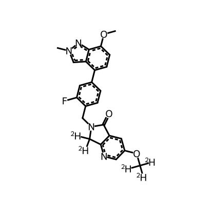 [2H]C([2H])([2H])Oc1cnc2c(c1)C(=O)N(Cc1ccc(-c3ccc(OC)c4nn(C)cc34)cc1F)C2([2H])[2H]